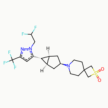 O=S1(=O)CC2(CCN([C@H]3C[C@@H]4[C@H](C3)[C@H]4c3cc(C(F)(F)F)nn3CC(F)F)CC2)C1